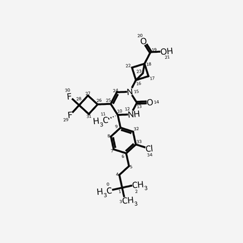 CC(C)(C)CCc1ccc([C@]2(C)NC(=O)N(C34CC(C(=O)O)(C3)C4)C=C2C2CC(F)(F)C2)cc1Cl